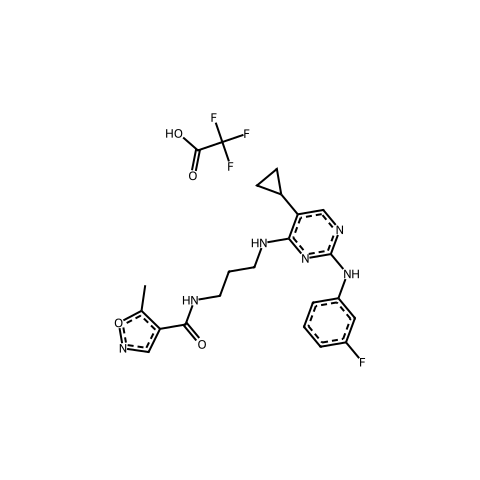 Cc1oncc1C(=O)NCCCNc1nc(Nc2cccc(F)c2)ncc1C1CC1.O=C(O)C(F)(F)F